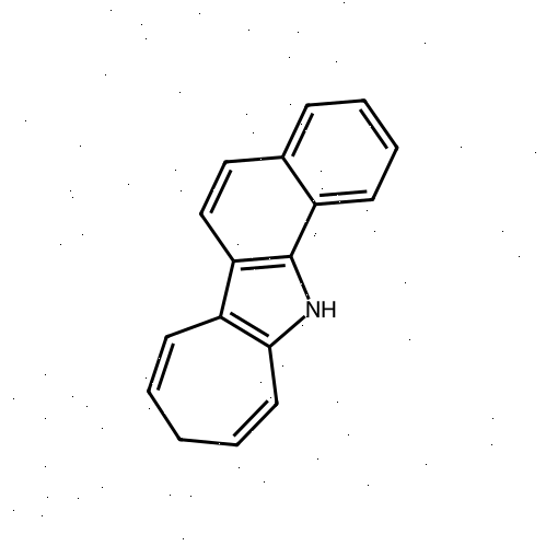 C1=Cc2[nH]c3c(ccc4ccccc43)c2C=CC1